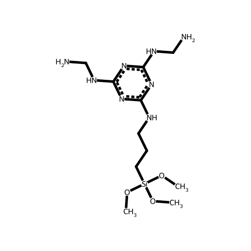 CO[Si](CCCNc1nc(NCN)nc(NCN)n1)(OC)OC